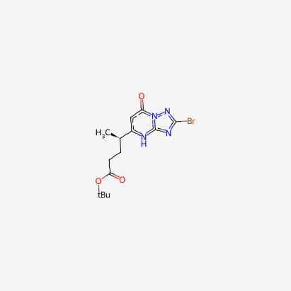 C[C@H](CCC(=O)OC(C)(C)C)c1cc(=O)n2nc(Br)nc2[nH]1